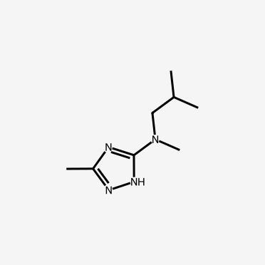 Cc1n[nH]c(N(C)CC(C)C)n1